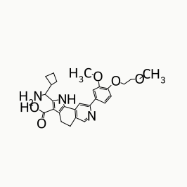 COCCOc1ccc(-c2cc3c(cn2)CCc2c-3[nH]c(C(N)C3CCC3)c2C(=O)O)cc1OC